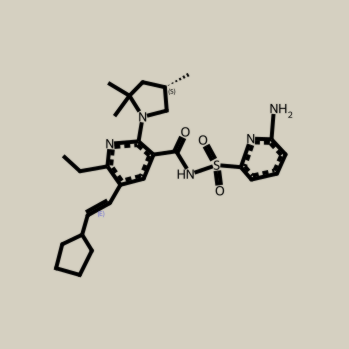 CCc1nc(N2C[C@@H](C)CC2(C)C)c(C(=O)NS(=O)(=O)c2cccc(N)n2)cc1/C=C/C1CCCC1